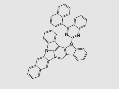 c1ccc2cc3c(cc2c1)c1cc2c4ccccc4n(-c4nc(-c5cccc6ccccc56)c5ccccc5n4)c2c2c4ccccc4n3c12